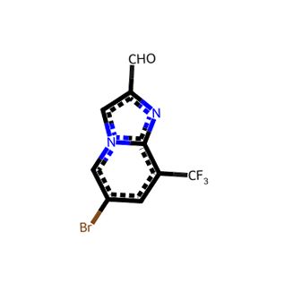 O=Cc1cn2cc(Br)cc(C(F)(F)F)c2n1